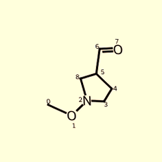 CON1CCC(C=O)C1